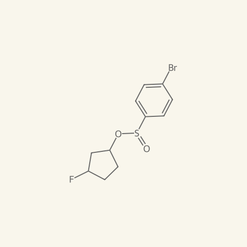 O=S(OC1CCC(F)C1)c1ccc(Br)cc1